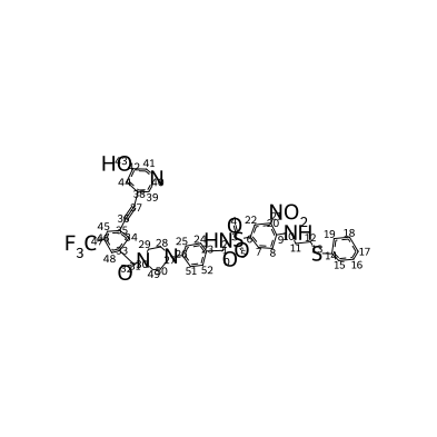 O=C(NS(=O)(=O)c1ccc(NCCSc2ccccc2)c([N+](=O)[O-])c1)c1ccc(N2CCN(C(=O)c3cc(C#Cc4cncc(O)c4)cc(C(F)(F)F)c3)CC2)cc1